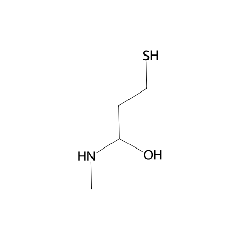 CNC(O)CCS